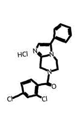 Cl.O=C(c1ccc(Cl)cc1Cl)N1CCn2c(-c3ccccc3)cnc2C1